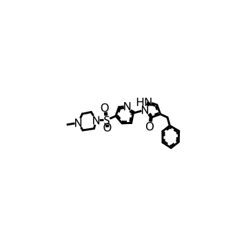 CN1CCN(S(=O)(=O)c2ccc(-n3[nH]cc(Cc4ccccc4)c3=O)nc2)CC1